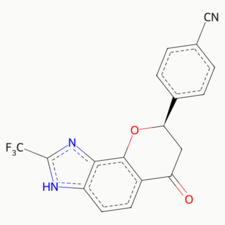 N#Cc1ccc([C@H]2CC(=O)c3ccc4[nH]c(C(F)(F)F)nc4c3O2)cc1